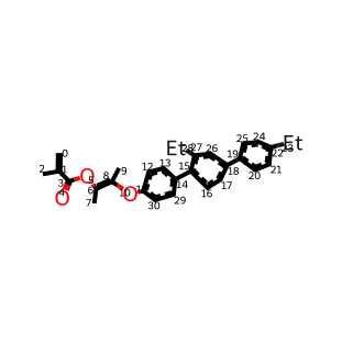 C=C(C)C(=O)O/C(C)=C(\C)Oc1ccc(-c2ccc(-c3ccc(CC)cc3)cc2CC)cc1